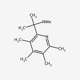 CNC(C)(C)c1nc(C)c(C)c(C)c1C